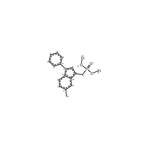 CCOP(=O)(Cc1cn(-c2ccccc2)c2ccc(C)cc12)OCC